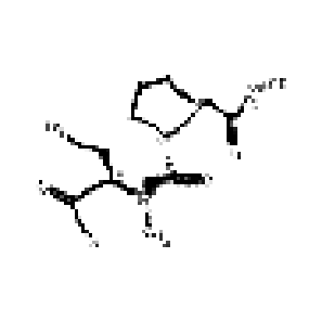 CCC[C@H](C)C(=O)N1CCC[C@H]1C(=O)N(C)[C@H](CC(C)C)C(=O)C(C)(C)C